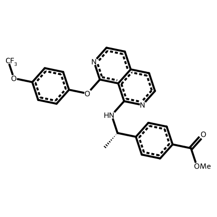 COC(=O)c1ccc([C@H](C)Nc2nccc3ccnc(Oc4ccc(OC(F)(F)F)cc4)c23)cc1